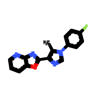 Fc1ccc(-n2cnc(-c3nc4ncccc4o3)c2C(F)(F)F)cc1